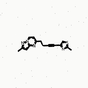 Cc1cc2nc(CCC#Cc3csc(C)n3)ccn2n1